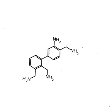 NCc1ccc(-c2cccc(CN)c2CN)cc1N